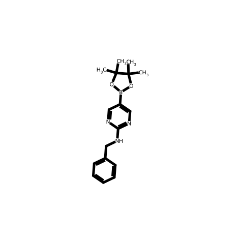 CC1(C)OB(c2cnc(NCc3ccccc3)nc2)OC1(C)C